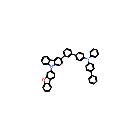 c1ccc(-c2ccc(N(c3ccccc3)c3ccc(-c4cccc(-c5ccc6c(c5)c5ccccc5n6-c5ccc6c(c5)oc5ccccc56)c4)cc3)cc2)cc1